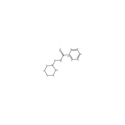 O=C(OCC1CCCCO1)c1ccccc1